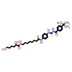 CC(C)(C)c1ccc(C(=O)NC(=S)Nc2ccc(NC(=O)CCCCCCCNC(=O)C(O)CCCCO)cc2)cc1